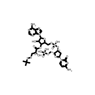 CC(C)(C)SSC[C@H](O)C(=O)OC1C(COP(=O)(O)O[C@H]2C[C@H](n3ccc(N)nc3=O)O[C@@H]2COP(=O)(O)O)OC(n2cnc3c(N)ncnc32)C1O